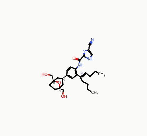 CCC/C=C(\CCCC)c1cc([C@H]2C[C@]3(CO)CC[C@](CO)(C2)O3)ccc1NC(=O)c1nc(C#N)c[nH]1